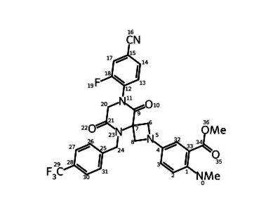 CNc1ccc(N2CC3(C2)C(=O)N(c2ccc(C#N)cc2F)CC(=O)N3Cc2ccc(C(F)(F)F)cc2)cc1C(=O)OC